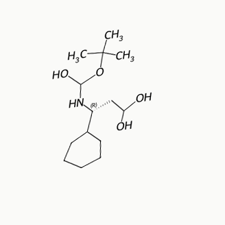 CC(C)(C)OC(O)N[C@H](CC(O)O)C1CCCCC1